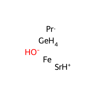 [Fe].[GeH4].[OH-].[Pr].[SrH+]